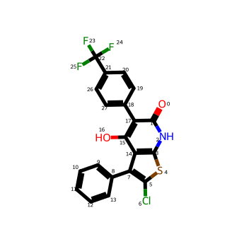 O=c1[nH]c2sc(Cl)c(-c3ccccc3)c2c(O)c1-c1ccc(C(F)(F)F)cc1